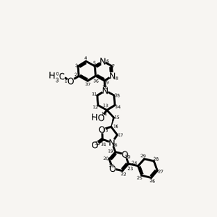 COc1ccc2ncnc(N3CCC(O)(C[C@H]4CN(C5=COC=C(C6=CC=CCC6)O5)C(=O)O4)CC3)c2c1